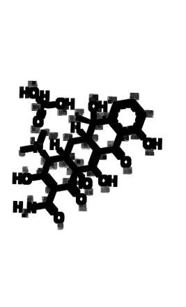 CN(C)[C@@H]1C(O)=C(C(N)=O)C(=O)[C@@]2(O)C(O)=C3C(=O)c4c(O)cccc4[C@@](C)(O)[C@H]3C[C@@H]12.O=[PH](O)O